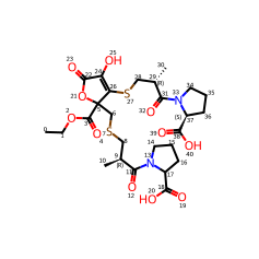 CCOC(=O)C1(CSC[C@H](C)C(=O)N2CCCC2C(=O)O)OC(=O)C(O)=C1SC[C@H](C)C(=O)N1CCC[C@H]1C(=O)O